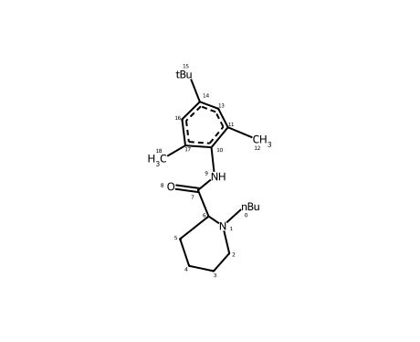 CCCCN1CCCCC1C(=O)Nc1c(C)cc(C(C)(C)C)cc1C